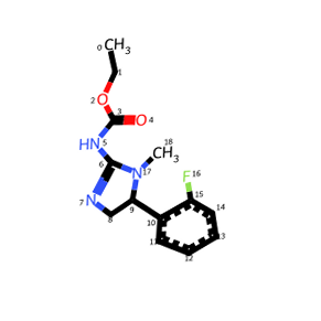 CCOC(=O)NC1=NCC(c2ccccc2F)N1C